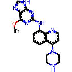 CC(C)Oc1nc(Nc2cccc3c(N4CCNCC4)ccnc23)nc2[nH]cnc12